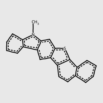 Cn1c2ccccc2c2cc3c(cc21)sc1c2ccccc2ccc31